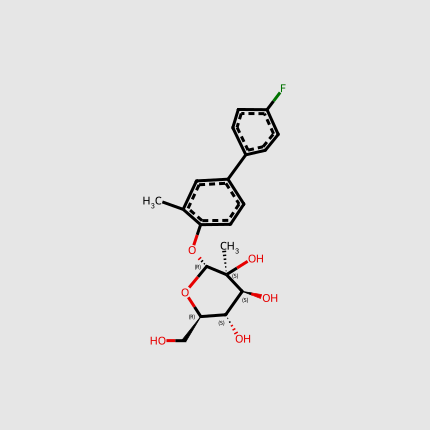 Cc1cc(-c2ccc(F)cc2)ccc1O[C@H]1O[C@H](CO)[C@@H](O)[C@H](O)[C@]1(C)O